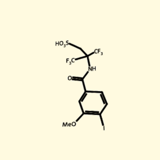 COc1cc(C(=O)NC(CS(=O)(=O)O)(C(F)(F)F)C(F)(F)F)ccc1I